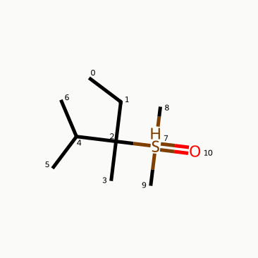 CCC(C)(C(C)C)[SH](C)(C)=O